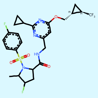 CC1C(F)CC(C(=O)NCc2cc(OC[C@@H]3C[C@H]3C(F)(F)F)nc(C3CC3)n2)N1S(=O)(=O)c1ccc(F)cc1